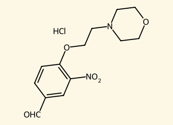 Cl.O=Cc1ccc(OCCN2CCOCC2)c([N+](=O)[O-])c1